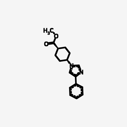 COC(=O)[C@H]1CC[C@@H](n2cnc(-c3ccccc3)c2)CC1